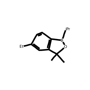 CCc1ccc2c(c1)C(C)(C)OB2C(C)C